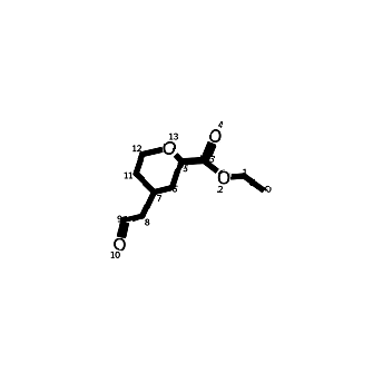 CCOC(=O)C1CC(CC=O)CCO1